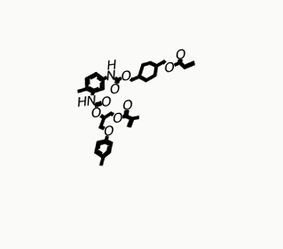 C=CC(=O)OCC1CCC(COC(=O)Nc2ccc(C)c(NC(=O)OC(COC(=O)C(=C)C)COc3ccc(C)cc3)c2)CC1